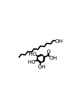 CCCCCCCCCCCCO.O=C(O)c1cc(O)c(O)c(O)c1